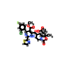 COC(=O)C1=C(CC2CCN3C(=O)OC(C)(C)[C@]3(CC(=O)O)C2)NC(c2nccs2)=N[C@H]1c1ccc(F)cc1Cl